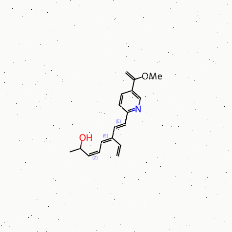 C=CC(/C=C/c1ccc(C(=C)OC)cn1)=C\C=C/C(C)O